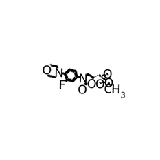 COS(=O)(=O)C[C@H]1CN(c2ccc(N3CCOCC3)c(F)c2)C(=O)O1